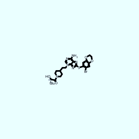 CC(C)(C)[C@H](O)C(=O)N1CCC(CCn2cnc(N)c3nc(Sc4cc5c(cc4Br)OCCO5)nc2-3)CC1